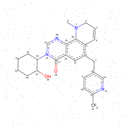 CN1CC=Cc2c(Cc3ccc(C(F)(F)F)nc3)cc3c(=O)n(C4CCCCC4O)cnc3c21